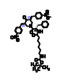 CC(C)(C)OC(=O)NCCCCCCC(=O)N[C@@H](Cc1ccccc1)C(=O)N1C/C(=C\c2ccc([N+](=O)[O-])cc2)C(=O)/C(=C/c2ccc([N+](=O)[O-])cc2)C1